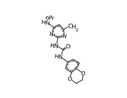 CCCNc1cc(C)nc(NC(=O)Nc2ccc3c(c2)OCCO3)n1